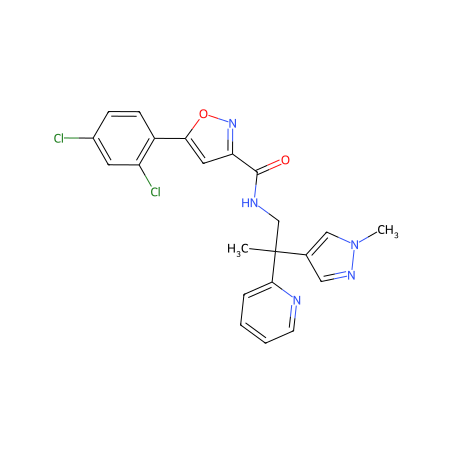 Cn1cc(C(C)(CNC(=O)c2cc(-c3ccc(Cl)cc3Cl)on2)c2ccccn2)cn1